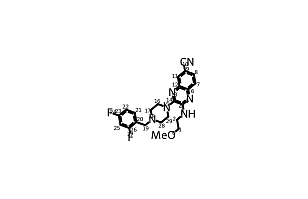 COCCNc1nc2ccc(C#N)cc2nc1N1CCN(Cc2ccc(F)cc2F)CC1